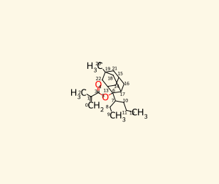 C=C(C)C(=O)OC1(C(CC)CCC)C2CC3CC1CC(C)(C3)C2